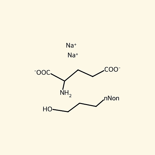 CCCCCCCCCCCCO.NC(CCC(=O)[O-])C(=O)[O-].[Na+].[Na+]